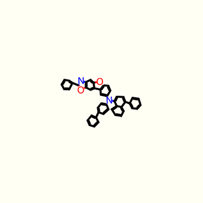 c1ccc(-c2ccc(N(c3ccc4oc5cc6nc(-c7ccccc7)oc6cc5c4c3)c3ccc(-c4ccccc4)c4ccccc34)cc2)cc1